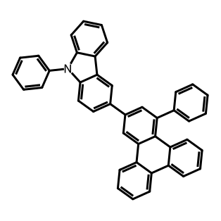 c1ccc(-c2cc(-c3ccc4c(c3)c3ccccc3n4-c3ccccc3)cc3c4ccccc4c4ccccc4c23)cc1